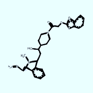 C=N/C=C1/c2ccccc2C(CC(O)C2CCN(C(=O)COc3nc4ccccc4o3)CC2)N1C